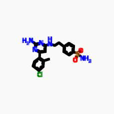 Cc1cc(Cl)ccc1-c1cc(NCCc2ccc(S(N)(=O)=O)cc2)nc(N)n1